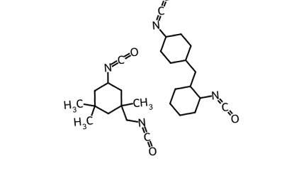 CC1(C)CC(N=C=O)CC(C)(CN=C=O)C1.O=C=NC1CCC(CC2CCCCC2N=C=O)CC1